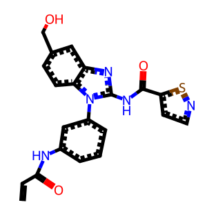 C=CC(=O)Nc1cccc(-n2c(NC(=O)c3ccns3)nc3cc(CO)ccc32)c1